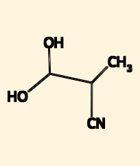 CC(C#N)C(O)O